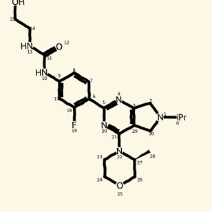 CC(C)N1Cc2nc(-c3ccc(NC(=O)NCCO)cc3F)nc(N3CCOC[C@@H]3C)c2C1